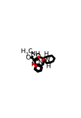 CNC(=O)c1nc2ccccc2n([C@H]2C[C@H]3CCC[C@@H](C2)N3C2CCCCCCC2)c1=O